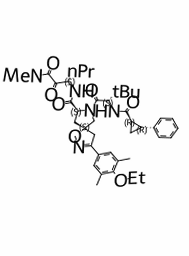 CCC[C@H](NC(=O)[C@@H]1C[C@]2(CC(c3cc(C)c(OCC)c(C)c3)=NO2)CN1C(=O)[C@@H](NC(=O)[C@@H]1C[C@H]1c1ccccc1)C(C)(C)C)C(=O)C(=O)NC